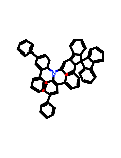 C1=CC2=C3C=C(N(c4ccc(-c5ccccc5)cc4-c4ccccc4)C4CC=C(c5ccccc5)C=C4c4ccccc4)C=CC3C3(c4ccccc4-c4ccccc43)C2C=C1